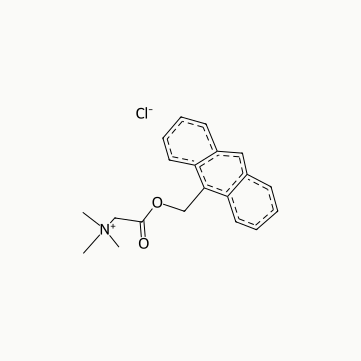 C[N+](C)(C)CC(=O)OCc1c2ccccc2cc2ccccc12.[Cl-]